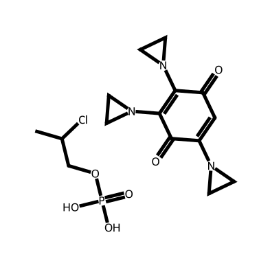 CC(Cl)COP(=O)(O)O.O=C1C=C(N2CC2)C(=O)C(N2CC2)=C1N1CC1